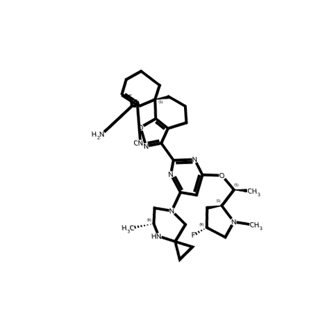 C[C@@H]1CN(c2cc(O[C@@H](C)[C@@H]3C[C@@H](F)CN3C)nc(-c3noc4c3CCC[C@@]43CCCc4sc(N)c(C#N)c43)n2)CC2(CC2)N1